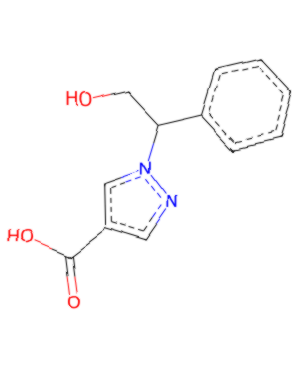 O=C(O)c1cnn(C(CO)c2ccccc2)c1